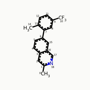 Cc1cc2ccc(-c3cc(C(F)(F)F)ccc3C)cc2cn1